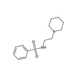 O=S(=O)(NCCN1CCCCC1)c1ccccc1